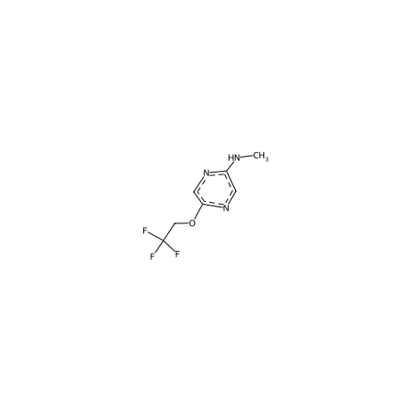 CNc1cnc(OCC(F)(F)F)cn1